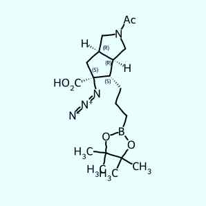 CC(=O)N1C[C@@H]2C[C@@](N=[N+]=[N-])(C(=O)O)[C@@H](CCCB3OC(C)(C)C(C)(C)O3)[C@@H]2C1